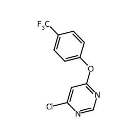 FC(F)(F)c1ccc(Oc2cc(Cl)ncn2)cc1